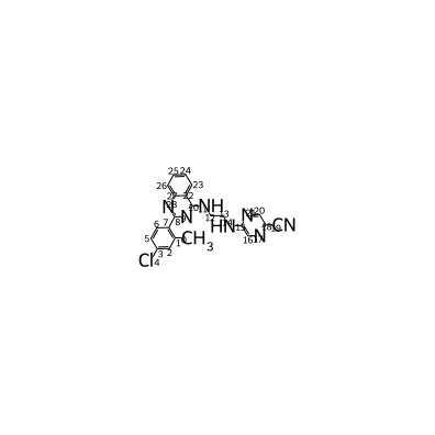 Cc1cc(Cl)ccc1-c1nc(NCCNc2cnc(C#N)cn2)c2ccccc2n1